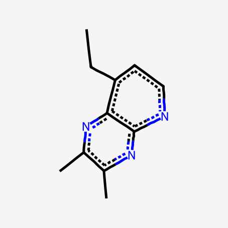 CCc1ccnc2nc(C)c(C)nc12